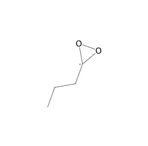 CCC[C]1OO1